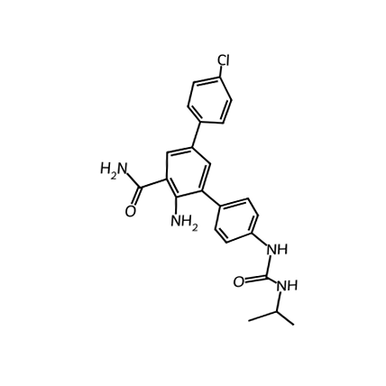 CC(C)NC(=O)Nc1ccc(-c2cc(-c3ccc(Cl)cc3)cc(C(N)=O)c2N)cc1